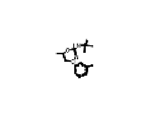 C[C@H](CCl)OC(=O)NC(C)(C)C.Ic1ccccc1